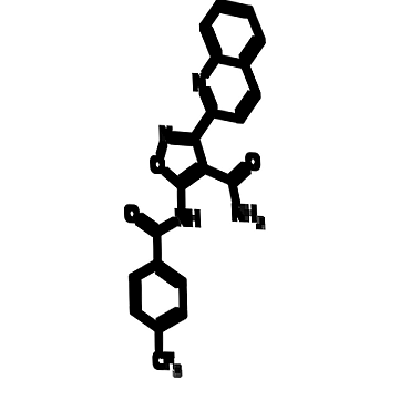 NC(=O)c1c(-c2ccc3ccccc3n2)noc1NC(=O)c1ccc(C(F)(F)F)cc1